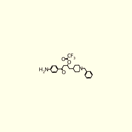 Nc1ccc(C(=O)CC(CC2CCN(Cc3ccccc3)CC2)OC(=O)C(F)(F)F)cc1